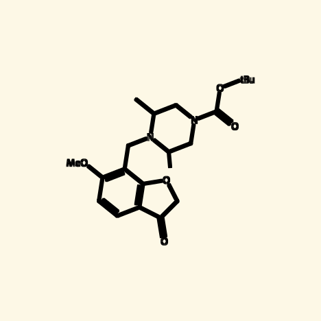 COc1ccc2c(c1CN1C(C)CN(C(=O)OC(C)(C)C)CC1C)OCC2=O